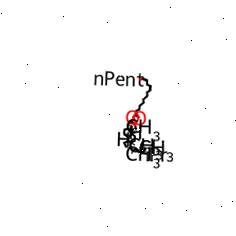 CCCCC/C=C\C/C=C\CCCCCCCC(=O)O[C@H]1CC[C@@]2(C)C(CC=C3[C@@H]4CC[C@H]([C@H](C)/C=C/[C@H](C)C(C)C)[C@@]4(C)CC[C@@H]32)C1